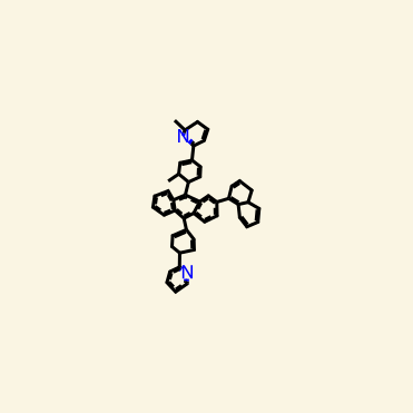 CC1CC=CC(C2=CC(C)C(c3c4ccccc4c(C4=CCC(c5ccccn5)C=C4)c4ccc(C5=C6C=CC=CC6CC=C5)cc34)C=C2)=N1